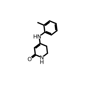 Cc1ccccc1NC1=CC(=O)NCC1